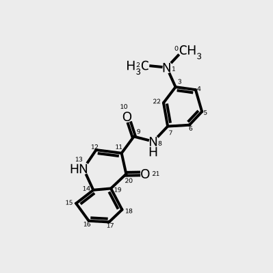 CN(C)c1cccc(NC(=O)c2c[nH]c3ccccc3c2=O)c1